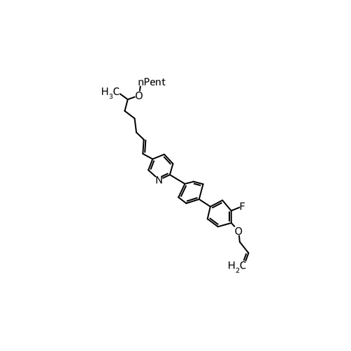 C=CCOc1ccc(-c2ccc(-c3ccc(C=CCCCC(C)OCCCCC)cn3)cc2)cc1F